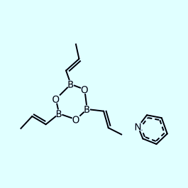 CC=CB1OB(C=CC)OB(C=CC)O1.c1ccncc1